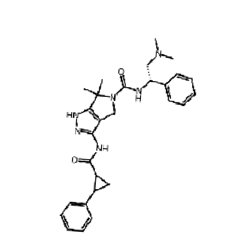 CN(C)C[C@@H](NC(=O)N1Cc2c(NC(=O)C3CC3c3ccccc3)n[nH]c2C1(C)C)c1ccccc1